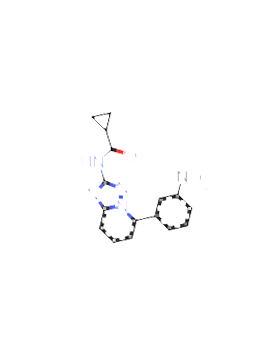 O=C(Nc1nc2cccc(-c3cccc([N+](=O)[O-])c3)n2n1)C1CC1